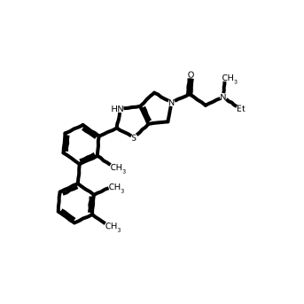 CCN(C)CC(=O)N1CC2=C(C1)SC(c1cccc(-c3cccc(C)c3C)c1C)N2